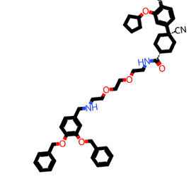 COc1ccc([C@]2(C#N)CC[C@@H](C(=O)NCCOCCOCCNCc3ccc(OCc4ccccc4)c(OCc4ccccc4)c3)CC2)cc1OC1CCCC1